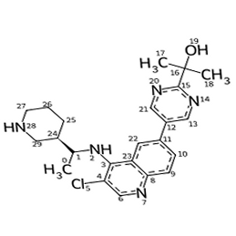 CC(Nc1c(Cl)cnc2ccc(-c3cnc(C(C)(C)O)nc3)cc12)[C@@H]1CCCNC1